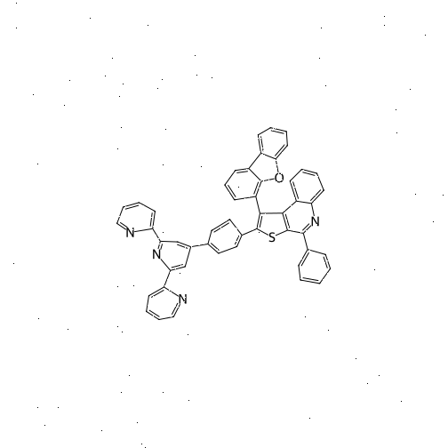 c1ccc(-c2nc3ccccc3c3c(-c4cccc5c4oc4ccccc45)c(-c4ccc(-c5cc(-c6ccccn6)nc(-c6ccccn6)c5)cc4)sc23)cc1